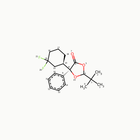 CC(C)(C)C1OC(=O)[C@](c2ccccc2)([C@@H]2CCCC(F)(F)C2)O1